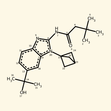 CC(C)(C)CC(=O)Nc1nc2ccc(C(C)(C)O)cc2n1C12CC(C1)C2